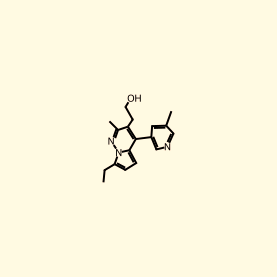 CCc1ccc2c(-c3cncc(C)c3)c(CCO)c(C)nn12